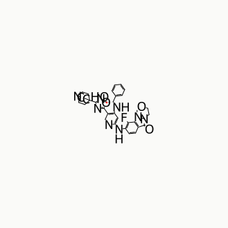 O=c1c2ccc(Nc3cc(N[C@H](CO)c4ccccc4)c(-c4nc(C56CCN(CC5)CC6)no4)cn3)c(F)c2n2n1CCOC2